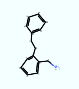 NCc1ccccc1CCc1ccccc1